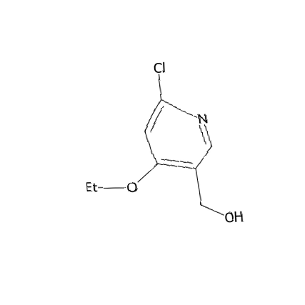 CCOc1cc(Cl)ncc1CO